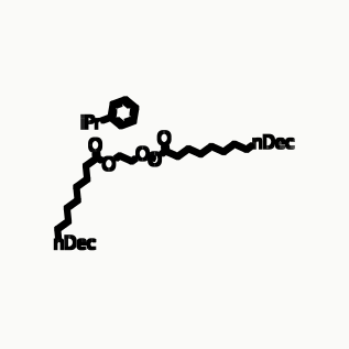 CC(C)c1ccccc1.CCCCCCCCCCCCCCCCCC(=O)OCCOOC(=O)CCCCCCCCCCCCCCCCC